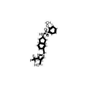 COc1ccccc1S(=O)(=O)NC1Cc2ccc(Cn3cc(CO)c(C(F)(F)F)n3)cc2C1